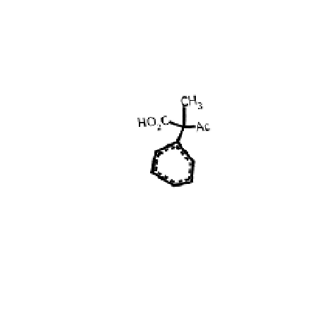 CC(=O)C(C)(C(=O)O)c1ccccc1